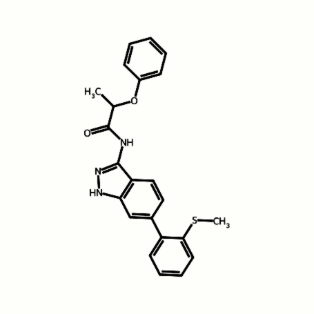 CSc1ccccc1-c1ccc2c(NC(=O)C(C)Oc3ccccc3)n[nH]c2c1